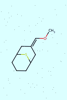 COC=C1CC2CCCC(C1)S2